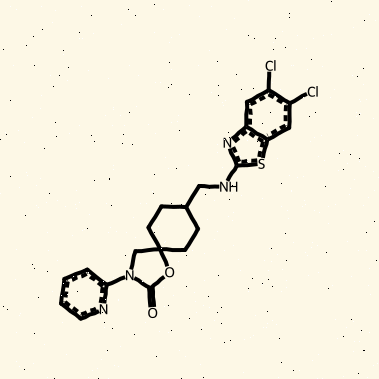 O=C1OC2(CCC(CNc3nc4cc(Cl)c(Cl)cc4s3)CC2)CN1c1ccccn1